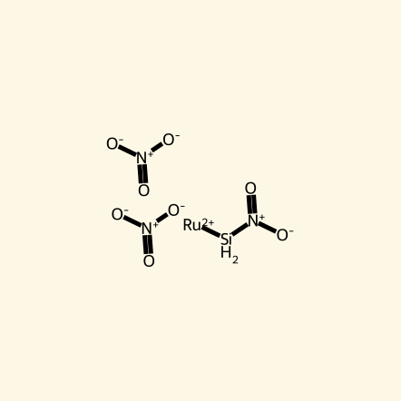 O=[N+]([O-])[O-].O=[N+]([O-])[O-].O=[N+]([O-])[SiH2][Ru+2]